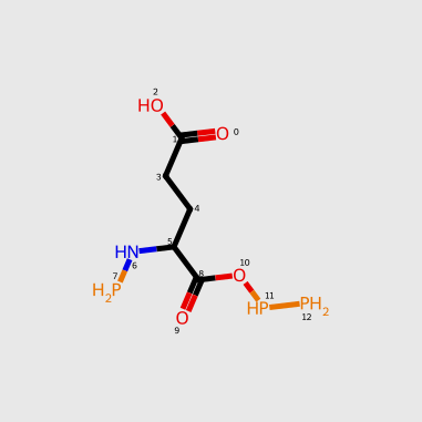 O=C(O)CCC(NP)C(=O)OPP